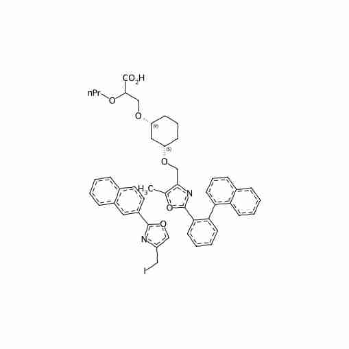 CCCOC(CO[C@@H]1CCC[C@H](OCc2nc(-c3ccccc3-c3cccc4ccccc34)oc2C)C1)C(=O)O.ICc1coc(-c2ccc3ccccc3c2)n1